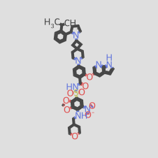 CC(C)c1ccccc1C1CCCN1C1CC2(CCN(c3ccc(C(=O)NS(=O)(=O)c4cc([N+](=O)[O-])c(NCC5CCOCC5)c5c4OCO5)c(Oc4cnc5[nH]ccc5c4)c3)CC2)C1